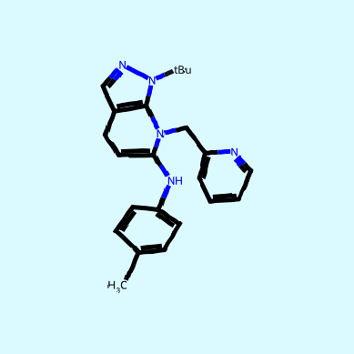 Cc1ccc(NC2=CCc3cnn(C(C)(C)C)c3N2Cc2ccccn2)cc1